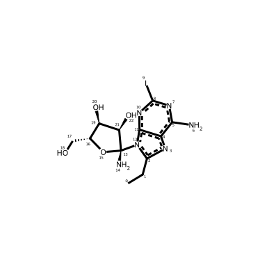 CCc1nc2c(N)nc(I)nc2n1[C@]1(N)O[C@H](CO)[C@@H](O)[C@H]1O